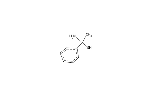 CC(N)(S)c1ccccc1